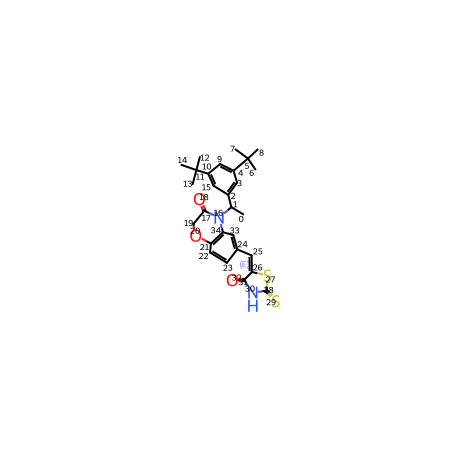 CC(c1cc(C(C)(C)C)cc(C(C)(C)C)c1)N1C(=O)COc2ccc(/C=C3/SC(=S)NC3=O)cc21